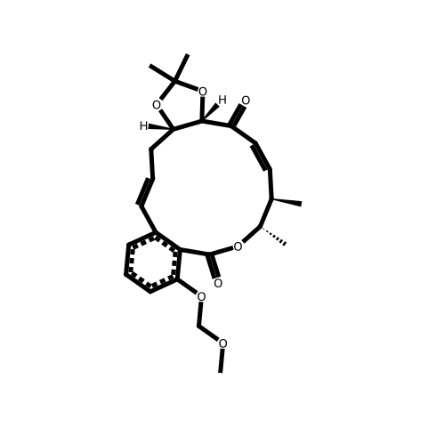 COCOc1cccc2c1C(=O)O[C@@H](C)[C@H](C)/C=C\C(=O)[C@H]1OC(C)(C)O[C@H]1C/C=C/2